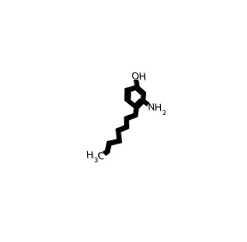 CCCCCCCCc1ccc(O)cc1N